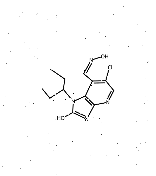 CCC(CC)n1c(O)nc2ncc(Cl)c(/C=N\O)c21